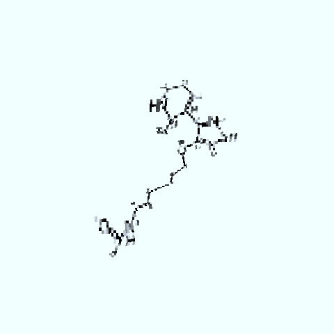 CC(=O)NCCCCCCOc1nsnc1C1=CCCNC1C